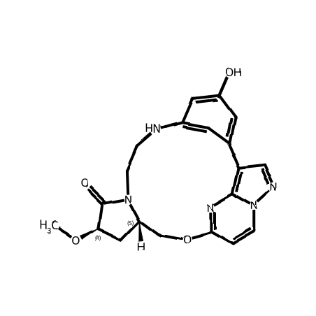 CO[C@@H]1C[C@H]2COc3ccn4ncc(c4n3)-c3cc(O)cc(c3)NCCN2C1=O